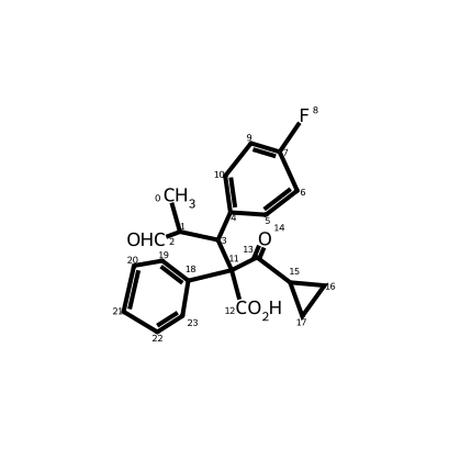 CC(C=O)C(c1ccc(F)cc1)C(C(=O)O)(C(=O)C1CC1)c1ccccc1